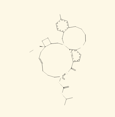 CO[C@H]1/C=C/CCCS(=O)(NC(=O)NC(C)C)=NC(=O)c2ccc3c(c2)N(Cc2ccc(Cl)cc2CCCCO3)C[C@@H]2CC[C@H]21